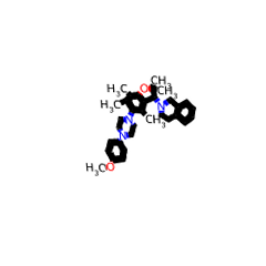 COc1ccc(N2CCN(c3c(C)c(C)c4c(c3C)C(N3CCc5ccccc5C3)C(C)(C)O4)CC2)cc1